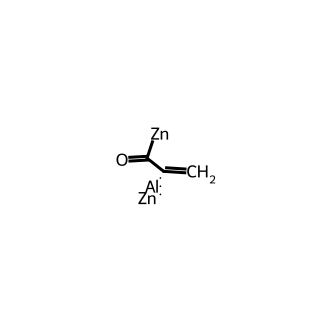 C=C[C](=O)[Zn].[Al].[Zn]